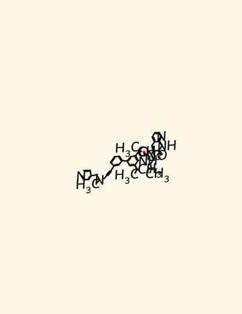 CCCCN(C(=O)Nc1c(C(C)C)cc(-c2cccc(C#CCN(C)Cc3ccncc3)c2)cc1C(C)C)c1cc2cccnc2[nH]c1=O